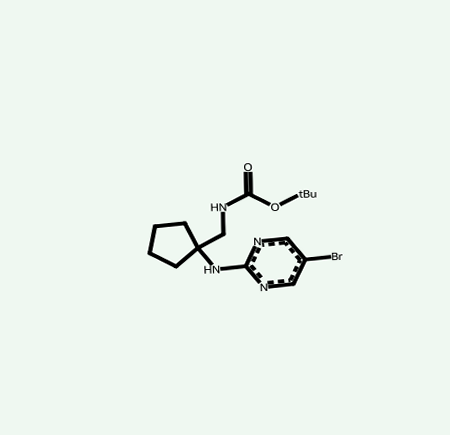 CC(C)(C)OC(=O)NCC1(Nc2ncc(Br)cn2)CCCC1